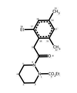 CCOC(=O)N1CCCCN1C(=O)Cc1c(C)cc(C)cc1CC